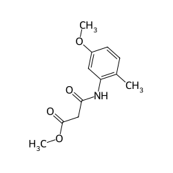 COC(=O)CC(=O)Nc1cc(OC)ccc1C